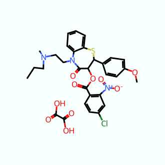 CCCN(C)CCN1C(=O)C(OC(=O)c2ccc(Cl)cc2[N+](=O)[O-])C(c2ccc(OC)cc2)Sc2ccccc21.O=C(O)C(=O)O